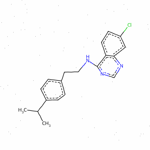 CC(C)c1ccc(CCNc2ncnc3cc(Cl)ccc23)cc1